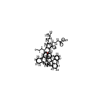 CCCCc1nc(N=CN(C)C)n(CCCC(=O)OC)c(=O)c1Cc1ccc(-c2ccccc2)c(-c2nnnn2C(c2ccccc2)(c2ccccc2)c2ccccc2)c1